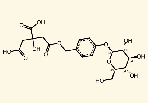 O=C(O)CC(O)(CC(=O)OCc1ccc(O[C@@H]2O[C@H](CO)[C@@H](O)[C@H](O)[C@H]2O)cc1)C(=O)O